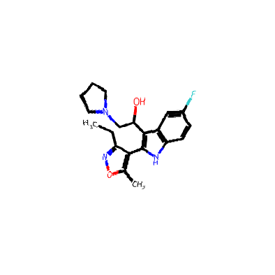 CCc1noc(C)c1-c1[nH]c2ccc(F)cc2c1C(O)CN1CCCC1